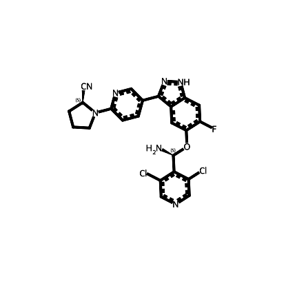 N#C[C@@H]1CCCN1c1ccc(-c2n[nH]c3cc(F)c(O[C@H](N)c4c(Cl)cncc4Cl)cc23)cn1